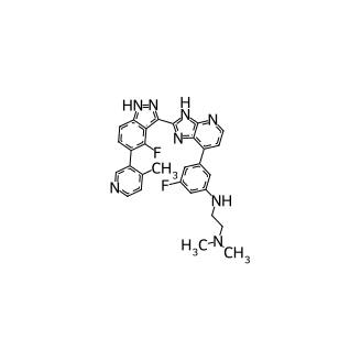 Cc1ccncc1-c1ccc2[nH]nc(-c3nc4c(-c5cc(F)cc(NCCN(C)C)c5)ccnc4[nH]3)c2c1F